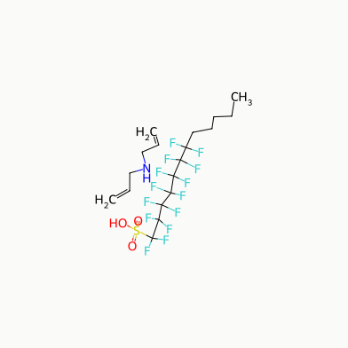 C=CCNCC=C.CCCCCC(F)(F)C(F)(F)C(F)(F)C(F)(F)C(F)(F)C(F)(F)C(F)(F)S(=O)(=O)O